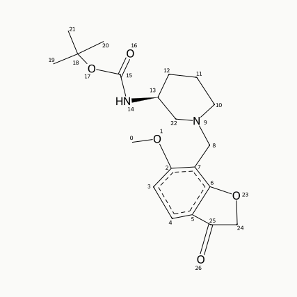 COc1ccc2c(c1CN1CCC[C@H](NC(=O)OC(C)(C)C)C1)OCC2=O